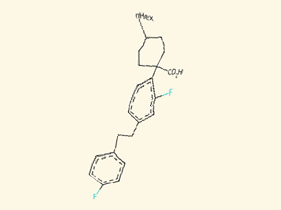 CCCCCCC1CCC(C(=O)O)(c2ccc(CCc3ccc(F)cc3)cc2F)CC1